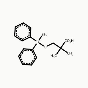 CC(C)(CO[Si](c1ccccc1)(c1ccccc1)C(C)(C)C)C(=O)O